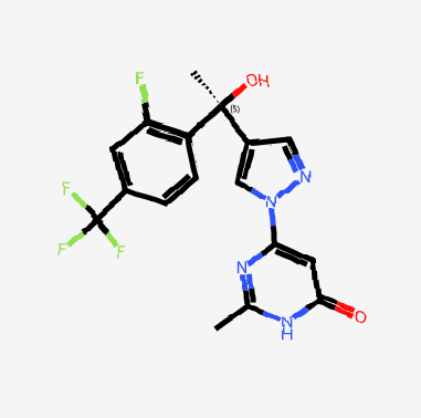 Cc1nc(-n2cc([C@](C)(O)c3ccc(C(F)(F)F)cc3F)cn2)cc(=O)[nH]1